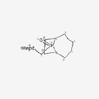 CCCCCCCCP1(=O)C2CCCCC1CC2